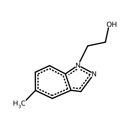 Cc1ccc2c(cnn2CCO)c1